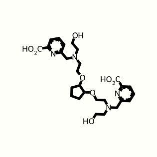 O=C(O)c1cccc(CN(CCO)CCOC2CCCC2OCCN(CCO)Cc2cccc(C(=O)O)n2)n1